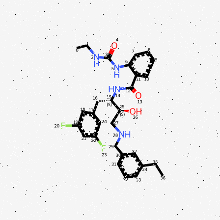 CCNC(=O)Nc1ccccc1C(=O)N[C@@H](Cc1cc(F)cc(F)c1)[C@@H](O)CNCc1cccc(CC)c1